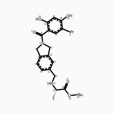 CC(C)c1cc(C(=O)N2Cc3ccc(CN[C@@H](C)C(=O)OC(C)(C)C)cc3C2)c(O)cc1O